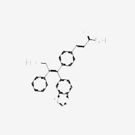 CCC(=C(c1ccc(C=CC(N)=O)cc1)c1ccc2scnc2c1)c1ccccc1